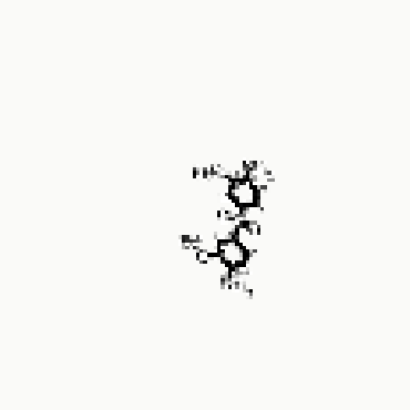 CCOc1cc(S(=O)(=O)c2ccc(N)c(OCC)c2)ccc1N